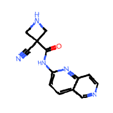 N#CC1(C(=O)Nc2ccc3cnccc3n2)CNC1